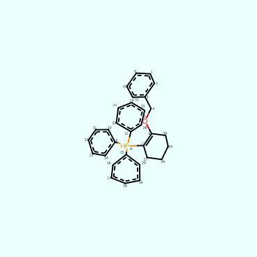 c1ccc(COC2=C([PH](c3ccccc3)(c3ccccc3)c3ccccc3)CCCC2)cc1